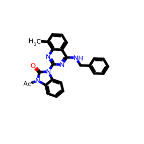 CC(=O)n1c(=O)n(-c2nc(NCc3ccccc3)c3cccc(C)c3n2)c2ccccc21